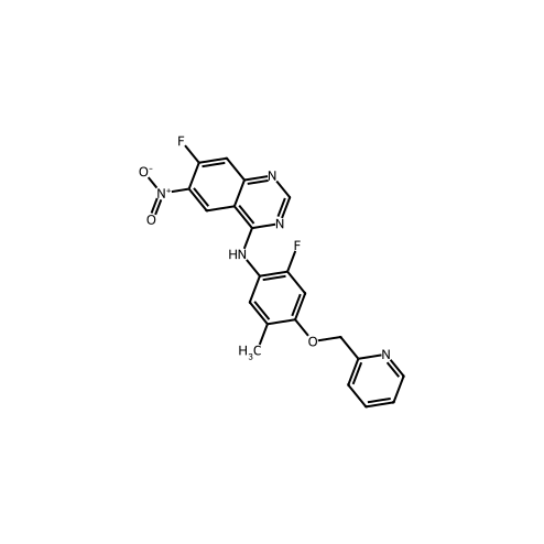 Cc1cc(Nc2ncnc3cc(F)c([N+](=O)[O-])cc23)c(F)cc1OCc1ccccn1